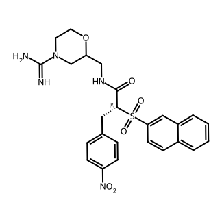 N=C(N)N1CCOC(CNC(=O)[C@@H](Cc2ccc([N+](=O)[O-])cc2)S(=O)(=O)c2ccc3ccccc3c2)C1